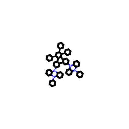 c1ccc(-c2cc(-c3ccccc3)c3c4ccc(N5c6ccccc6N(c6ccccc6)c6ccccc65)cc4c4cc(N5c6ccccc6N(c6ccccc6)c6ccccc65)ccc4c3c2-c2ccccc2)cc1